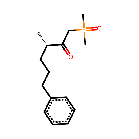 C[C@@H](CCCc1ccccc1)C(=O)CP(C)(C)=O